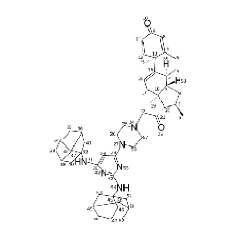 C[C@@H]1C[C@H]2[C@@H]3CCC4=CC(=O)C=C[C@]4(C)C3=CC[C@]2(C)[C@H]1C(=O)CN1CCN(c2cc(NC34CC5CC(CC(C5)C3)C4)nc(NC34CC5CC(CC(C5)C3)C4)n2)CC1